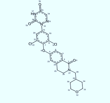 O=C1c2ccc(Oc3c(Cl)cc(-n4ncc(=O)[nH]c4=O)cc3Cl)cc2CCN1CC1CCOCC1